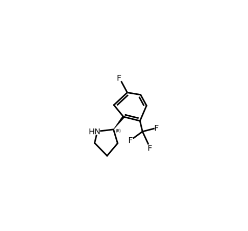 Fc1ccc(C(F)(F)F)c([C@H]2CCCN2)c1